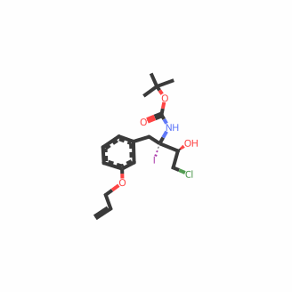 C=CCOc1cccc(C[C@@](I)(NC(=O)OC(C)(C)C)[C@@H](O)CCl)c1